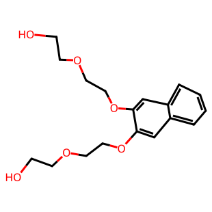 OCCOCCOc1cc2ccccc2cc1OCCOCCO